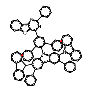 c1ccc(-c2nc(-c3cc(-c4ccccc4)c(-n4c5cc(C6c7ccccc7-c7ccccc76)c(-c6ccccc6)cc5c5cc(-c6ccccc6)c(-n6c7ccccc7c7ccccc76)cc54)c(-c4ccccc4)c3)c3oc4ccccc4c3n2)cc1